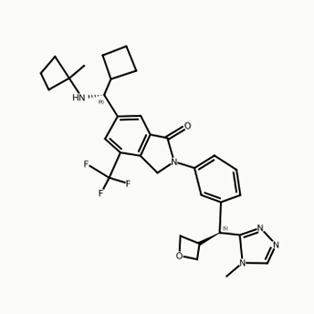 Cn1cnnc1[C@H](c1cccc(N2Cc3c(cc([C@H](NC4(C)CCC4)C4CCC4)cc3C(F)(F)F)C2=O)c1)C1COC1